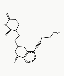 O=C1CCC(CCC2CC(=O)c3cccc(C#CCCCO)c3C2)C(=O)N1